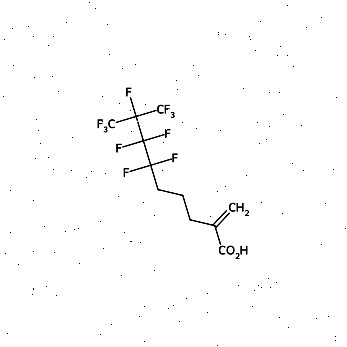 C=C(CCCC(F)(F)C(F)(F)C(F)(C(F)(F)F)C(F)(F)F)C(=O)O